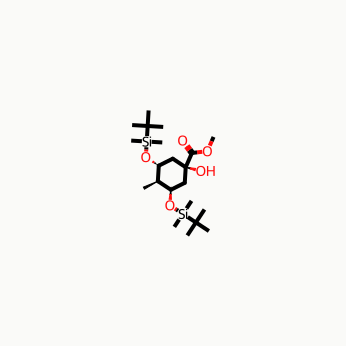 COC(=O)[C@]1(O)C[C@@H](O[Si](C)(C)C(C)(C)C)[C@@H](C)[C@H](O[Si](C)(C)C(C)(C)C)C1